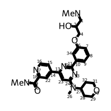 CNCC(O)COc1cccc(-c2nc(-c3ccnc(C(=O)NC)c3)cc(N(C)C3CCOCC3)n2)c1